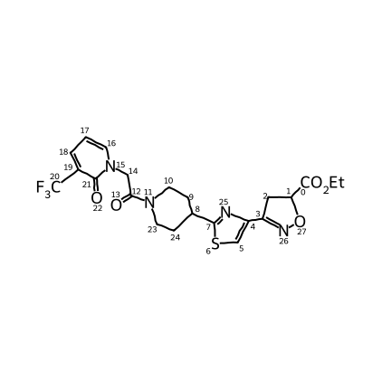 CCOC(=O)C1CC(c2csc(C3CCN(C(=O)Cn4cccc(C(F)(F)F)c4=O)CC3)n2)=NO1